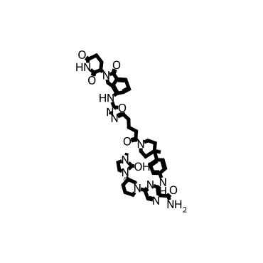 CN1CCN([C@@H]2CCCN(c3cnc(C(N)=O)c(Nc4ccc(C5(C)CCN(C(=O)CCCc6nnc(Nc7cccc8c7CN(C7CCC(=O)NC7=O)C8=O)o6)CC5)cc4)n3)C2)C1O